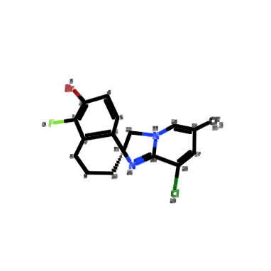 Fc1c(Br)ccc2c1CCC[C@@]21CN2C=C(C(F)(F)F)C=C(Cl)C2=N1